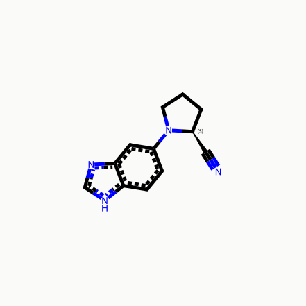 N#C[C@@H]1CCCN1c1ccc2[nH]cnc2c1